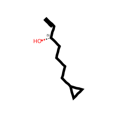 C=C[C@@H](O)CCCCC1CC1